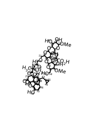 COC1OC(COCC(=O)O)C(OC2OC(COCC(=O)NC(C)(C)C(=O)O[C@@]34CCC(=O)[C@@H]5Oc6c(O)ccc7c6[C@@]53CCN(CC3CC3)[C@@H]4C7)C(OC3OC(CO)C(OC)C(O)C3O)C(O)C2O)C(O)C1O